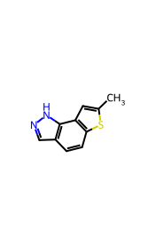 Cc1cc2c(ccc3cn[nH]c32)s1